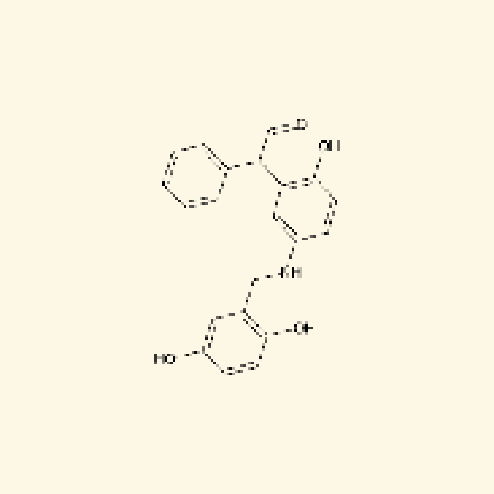 O=CC(c1ccccc1)c1cc(NCc2cc(O)ccc2O)ccc1O